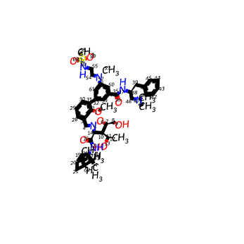 COc1c(CN2O[C@@H](CO)[C@@H]([C@H](C)O)[C@H]2C(=O)NC2CC3C[C@@H]([C@@H]2C)C3(C)C)cccc1-c1cc(C(=O)N[C@@H](Cc2ccccc2)CN(C)C)cc(N(C)CCNS(C)(=O)=O)c1